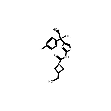 C#C[C@@](C)(c1ccc(Cl)cc1)c1csc(NC(=O)N2CC(CO)C2)n1